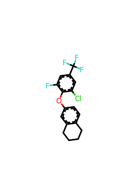 Fc1cc(C(F)(F)F)cc(Cl)c1Oc1ccc2c(c1)CCCC2